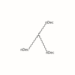 CCCCCCCCCCCCCCCCCCC=CC(C=CCCCCCCCCCCCCCCCCCCCC)=CCCCCCCCCCCCCCCCCCCCCCC